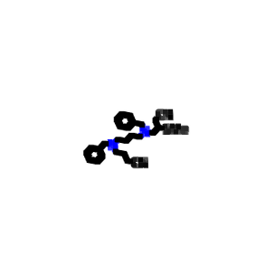 CSC(CC#N)CN(CCCCN(CCCC#N)Cc1ccccc1)Cc1ccccc1